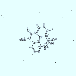 CCCCOC(=O)C1=C(C)NC(C)=C(C(=O)OC)C1c1ccccc1[N+](=O)[O-]